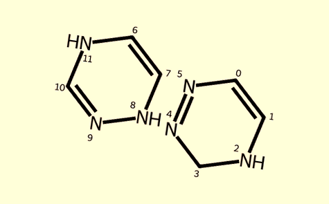 C1=CNCN=N1.C1=CNN=CN1